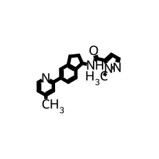 Cc1ccnc(-c2ccc3c(c2)CCC3NC(=O)c2ccnn2C)c1